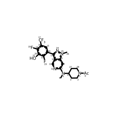 CC(=O)N1CCC(N(C)c2cc3c(cn2)c(-c2cc(C(F)(F)F)c(F)c(O)c2F)nn3C)CC1